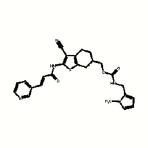 Cn1cccc1CNC(=O)OCC1CCc2c(sc(NC(=O)C=Cc3cccnc3)c2C#N)C1